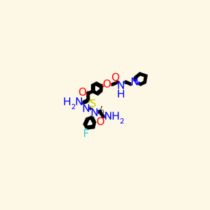 C[C@H](C(N)=O)N(c1ccc(F)cc1)c1nc(N)c(C(=O)c2ccc(OCC(=O)NCCN3CCCCC3)cc2)s1